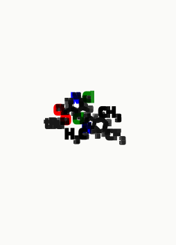 Cc1cc(C(F)(F)F)cc2c1c(Cc1c(Cl)ncc(C(=O)OC(C)(C)C)c1Cl)cn2C